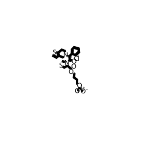 O=C(OCCCCO[N+](=O)[O-])C1CSCN1C(=O)[C@H](c1ccccc1Cl)N1CCc2sccc2C1